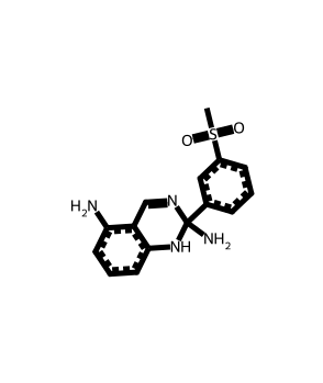 CS(=O)(=O)c1cccc(C2(N)N=Cc3c(N)cccc3N2)c1